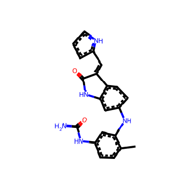 Cc1ccc(NC(N)=O)cc1Nc1ccc2c(c1)NC(=O)/C2=C\c1ccc[nH]1